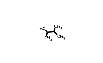 [CH]C(C)C(C)C